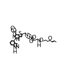 C/C=C/C(=O)CCCONCCS(=O)(=O)N1CCN(Cc2cc3nc(-c4cccc5[nH]ncc45)nc(N4CCOCC4)c3s2)CC1